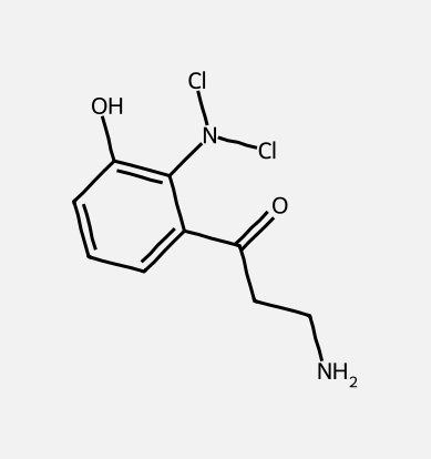 NCCC(=O)c1cccc(O)c1N(Cl)Cl